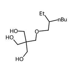 CCCCC(CC)COCC(CO)(CO)CO